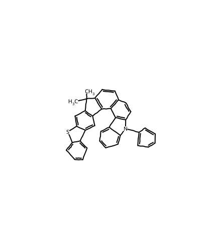 CC1(C)c2cc3sc4ccccc4c3cc2-c2c1ccc1ccc3c(c4ccccc4n3-c3ccccc3)c21